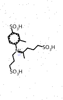 C/C(CCCS(=O)(=O)O)=[N+](\CCCS(=O)(=O)O)c1ccc(S(=O)(=O)O)cc1C